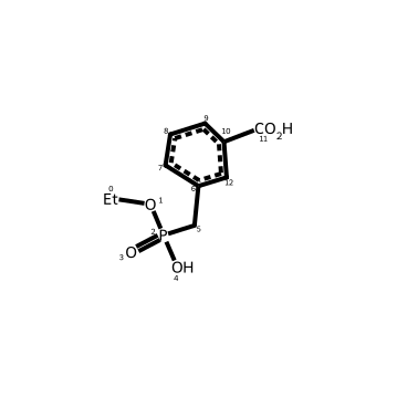 CCOP(=O)(O)Cc1cccc(C(=O)O)c1